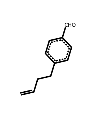 C=CCCc1ccc(C=O)cc1